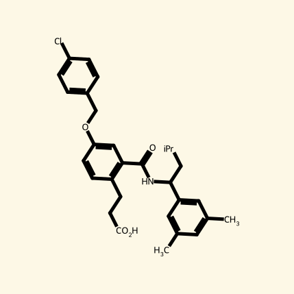 Cc1cc(C)cc(C(CC(C)C)NC(=O)c2cc(OCc3ccc(Cl)cc3)ccc2CCC(=O)O)c1